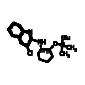 CC(C)(C)[Si](C)(C)O[C@H]1CCCC[C@@H]1Nc1nc2ccccc2cc1Cl